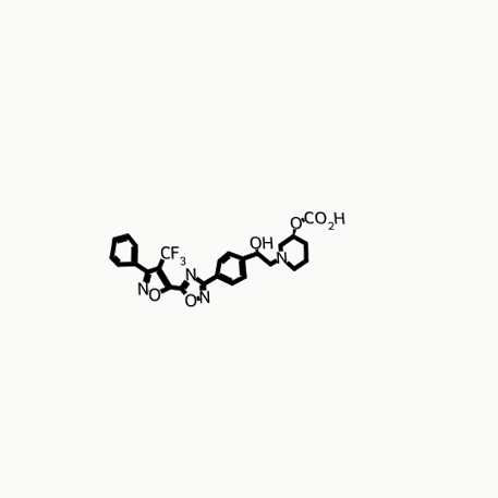 O=C(O)O[C@H]1CCCN(C[C@H](O)c2ccc(-c3noc(-c4onc(-c5ccccc5)c4C(F)(F)F)n3)cc2)C1